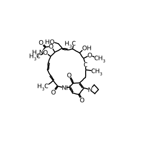 COC1/C=C\C=C(/C)C(=O)NC2=CC(=O)C(N3CCC3)=C(CC(C)CC(OC)C(O)C(C)/C=C(\CO)C1OC(N)=O)C2=O